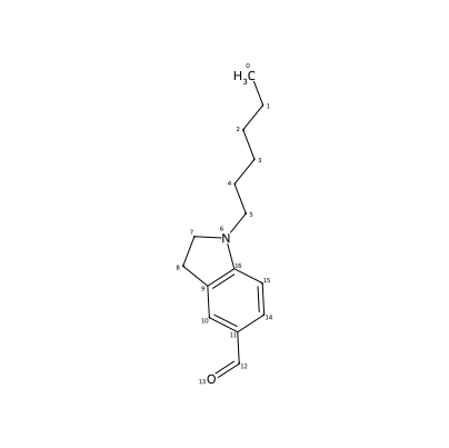 CCCCCCN1CCc2cc(C=O)ccc21